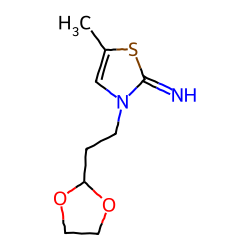 Cc1cn(CCC2OCCO2)c(=N)s1